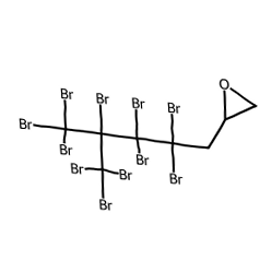 BrC(Br)(Br)C(Br)(C(Br)(Br)Br)C(Br)(Br)C(Br)(Br)CC1CO1